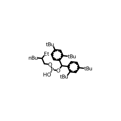 CCCCC(CC)COP(O)OC(c1ccc(C(C)(C)C)cc1C(C)(C)C)c1ccc(C(C)(C)C)cc1C(C)(C)C